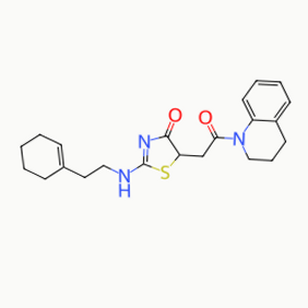 O=C1N=C(NCCC2=CCCCC2)SC1CC(=O)N1CCCc2ccccc21